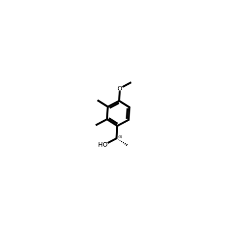 COc1ccc([C@H](C)O)c(C)c1C